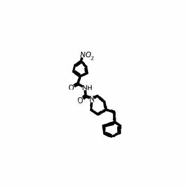 O=C(NC(=O)N1CCC(Cc2ccccc2)CC1)c1ccc([N+](=O)[O-])cc1